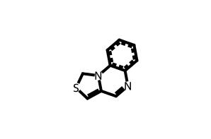 C1=Nc2ccccc2N2CSC=C12